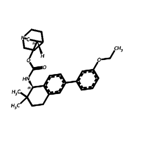 CCOc1cccc(-c2ccc3c(c2)CCC(C)(C)[C@H]3NC(=O)O[C@@H]2CN3CCC2CC3)c1